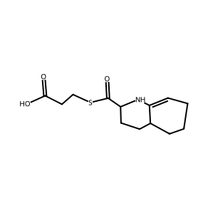 O=C(O)CCSC(=O)C1CCC2CCCC=C2N1